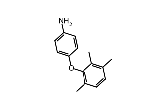 Cc1ccc(C)c(Oc2ccc(N)cc2)c1C